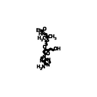 CCC(=O)NCC(C)(C)SSCO[C@@H]1C[C@H](n2cnc3c(N)ncnc32)OC1CCO